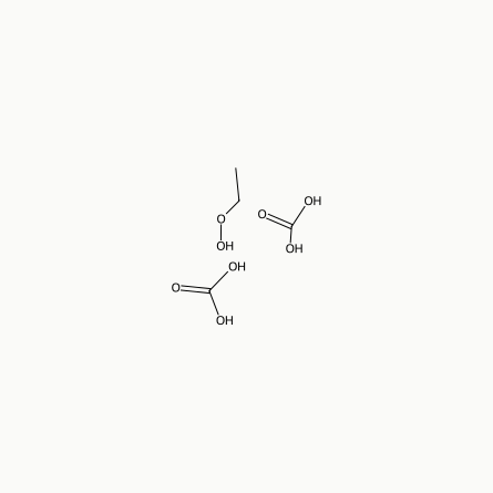 CCOO.O=C(O)O.O=C(O)O